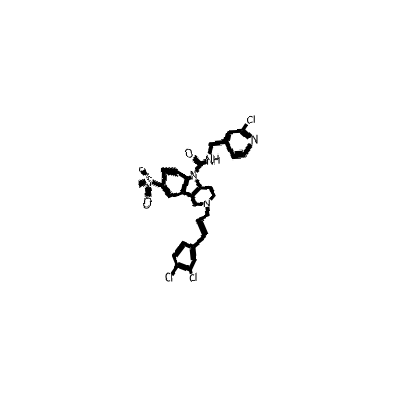 CS(=O)(=O)c1ccc2c(c1)c1c(n2C(=O)NCc2ccnc(Cl)c2)CCN(C/C=C/c2ccc(Cl)c(Cl)c2)C1